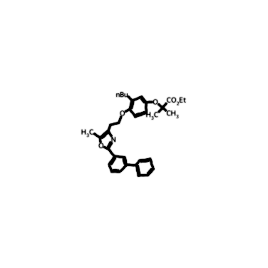 CCCCc1cc(OC(C)(C)C(=O)OCC)ccc1OCCc1nc(-c2cccc(-c3ccccc3)c2)oc1C